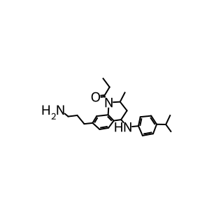 CCC(=O)N1c2cc(CCCN)ccc2C(Nc2ccc(C(C)C)cc2)CC1C